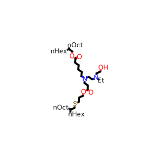 CCCCCCCCC(CCCCCC)COC(=O)CCCCCN(CCC(=O)OCCCSCC(CCCCCC)CCCCCCCC)CCN(CC)CCO